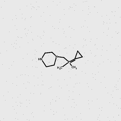 CP(C)(CN1CCNCC1)=C1CC1